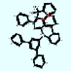 CC1(C)c2ccccc2-c2cc(N(c3cc(-c4ccccc4)cc(-c4ccccc4)c3)c3ccccc3-c3ccccc3)cc(-c3ccccc3)c21